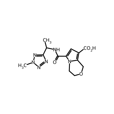 CC(NC(=O)c1cc(C(=O)O)c2n1CCOC2)c1nnn(C)n1